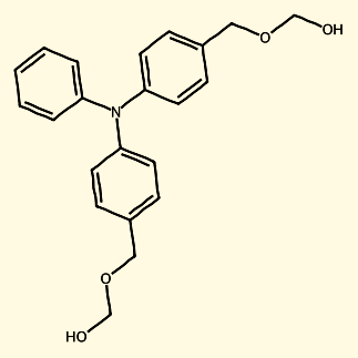 OCOCc1ccc(N(c2ccccc2)c2ccc(COCO)cc2)cc1